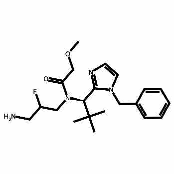 COCC(=O)N(CC(F)CN)[C@@H](c1nccn1Cc1ccccc1)C(C)(C)C